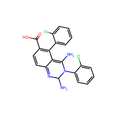 NC1=c2c(-c3ccccc3Cl)c(C(=O)O)ccc2=NC(N)N1c1ccccc1Cl